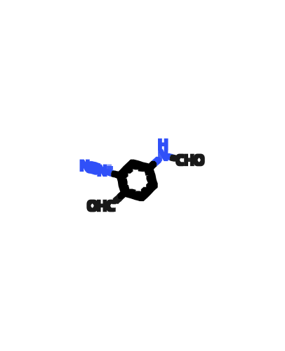 N#[N+]c1cc(NC=O)ccc1C=O